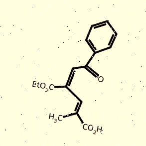 CCOC(=O)C(C=C(C)C(=O)O)=CC(=O)c1ccccc1